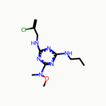 C=C(Cl)CNc1nc(NCCC)nc(N(C)OC)n1